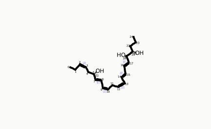 CC/C=C\C[C@H](O)/C=C/C=C\C\C=C/C=C/C=C/C(O)[C@@H](O)CCC